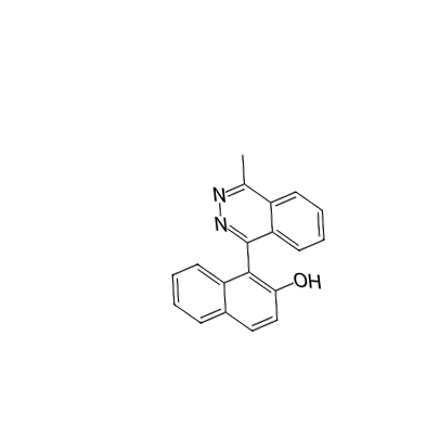 Cc1nnc(-c2c(O)ccc3ccccc23)c2ccccc12